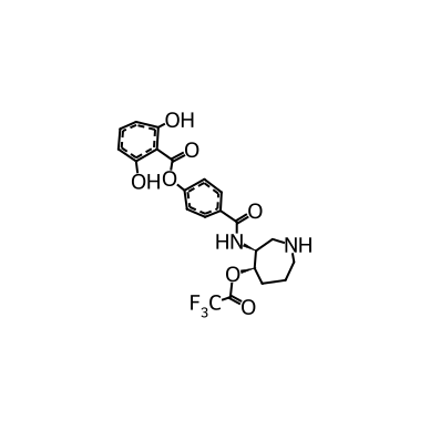 O=C(N[C@H]1CNCCC[C@H]1OC(=O)C(F)(F)F)c1ccc(OC(=O)c2c(O)cccc2O)cc1